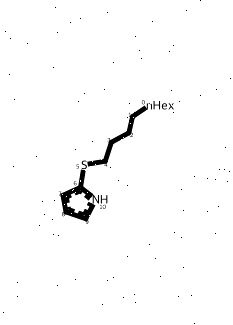 CCCCCCCCCCSc1ccc[nH]1